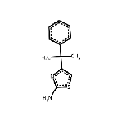 CC(C)(c1ccccc1)c1csc(N)n1